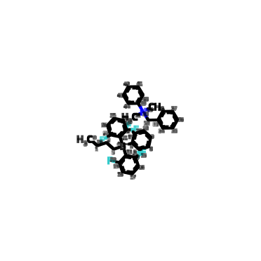 CCCC[B-](c1c(F)cccc1F)(c1c(F)cccc1F)c1c(F)cccc1F.C[N+](C)(Cc1ccccc1)c1ccccc1